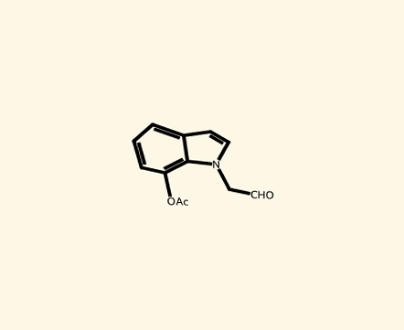 CC(=O)Oc1cccc2ccn(CC=O)c12